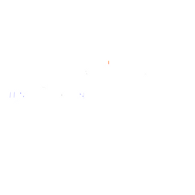 COc1cccc(CN(C(=O)c2ccccc2)[C@@H](C(N)=O)c2ccccc2)c1F